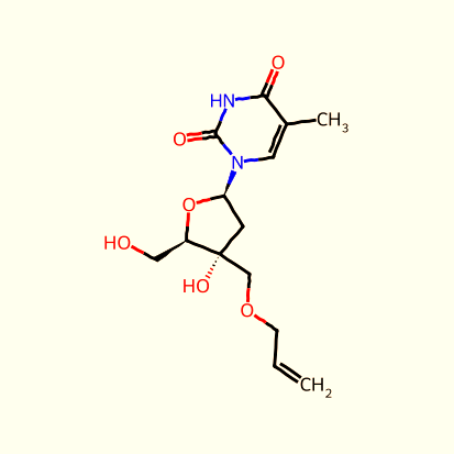 C=CCOC[C@]1(O)C[C@H](n2cc(C)c(=O)[nH]c2=O)O[C@@H]1CO